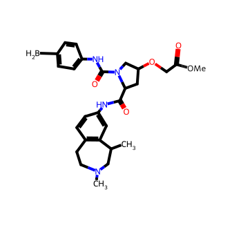 Bc1ccc(NC(=O)N2CC(OCC(=O)OC)CC2C(=O)Nc2ccc3c(c2)C(C)CN(C)CC3)cc1